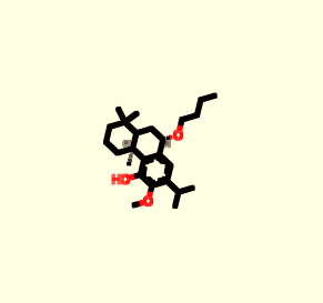 CCCCO[C@H]1CC2C(C)(C)CCC[C@]2(C)c2c1cc(C(C)C)c(OC)c2O